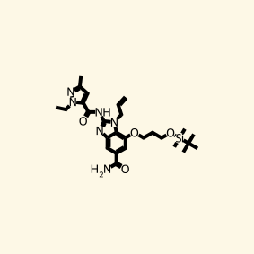 C=CCn1c(NC(=O)c2cc(C)nn2CC)nc2cc(C(N)=O)cc(OCCCO[Si](C)(C)C(C)(C)C)c21